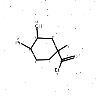 CCC(=O)C1(C)CCC(C(C)C)C(O)C1